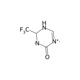 O=C1[N]C(C(F)(F)F)NC=[N+]1